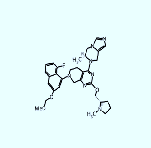 COCOc1cc(N2CCc3c(nc(OC[C@@H]4CCCN4C)nc3N3Cc4cncn4C[C@H]3C)C2)c2c(F)cccc2c1